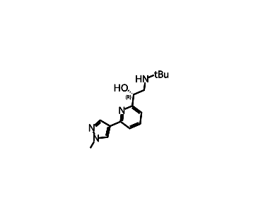 Cn1cc(-c2cccc([C@H](O)CNC(C)(C)C)n2)cn1